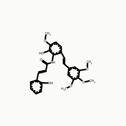 COc1ccc(C=Cc2cc(OC)c(OC)c(OC)c2)c(NC(=O)/C=C/c2ccccc2O)c1O